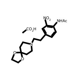 CC(=O)Nc1ccc(CCN2CCC3(CC2)OCCO3)cc1[N+](=O)[O-].CC(=O)O